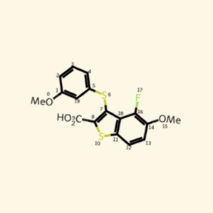 COc1cccc(Sc2c(C(=O)O)sc3ccc(OC)c(F)c23)c1